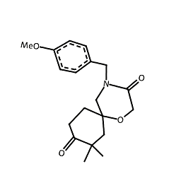 COc1ccc(CN2CC3(CCC(=O)C(C)(C)C3)OCC2=O)cc1